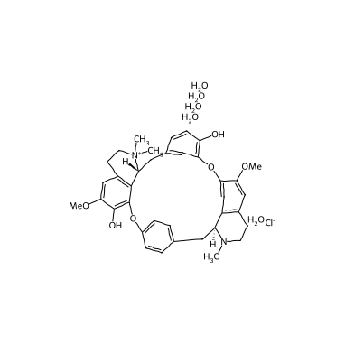 COc1cc2c3cc1Oc1cc(ccc1O)C[C@@H]1c4c(cc(OC)c(O)c4Oc4ccc(cc4)C[C@@H]3N(C)CC2)CC[N+]1(C)C.O.O.O.O.O.[Cl-]